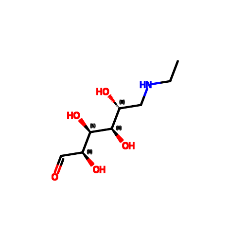 CCNC[C@@H](O)[C@@H](O)[C@H](O)[C@@H](O)C=O